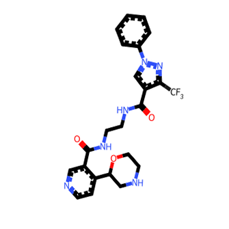 O=C(NCCNC(=O)c1cn(-c2ccccc2)nc1C(F)(F)F)c1cnccc1C1CNCCO1